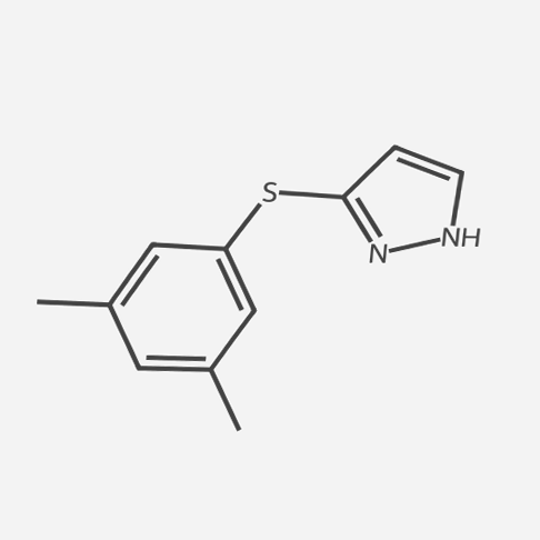 Cc1cc(C)cc(Sc2cc[nH]n2)c1